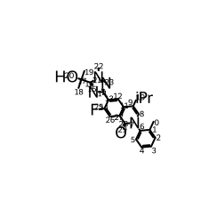 Cc1ccccc1-n1cc(C(C)C)c2cc(-c3nc(C(C)(C)O)n(C)n3)c(F)cc2c1=O